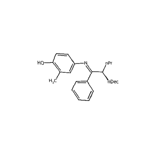 CCCCCCCCCCC(CCC)C(=Nc1ccc(O)c(C)c1)c1ccccc1